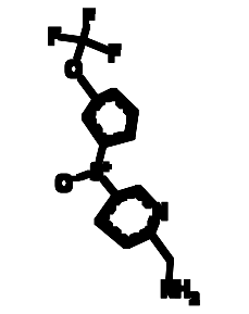 NCc1ccc([S+]([O-])c2cccc(OC(F)(F)F)c2)cn1